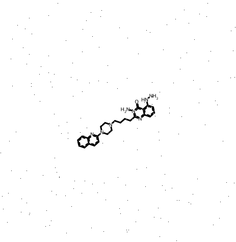 NNc1cccc2nc(CCCCN3CCN(c4ccc5ccccc5n4)CC3)n(N)c(=O)c12